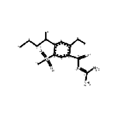 CCCC(C)c1cc(CC)c(C(=O)N=C(N)N)cc1S(C)(=O)=O